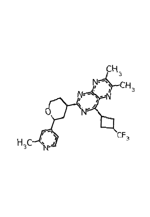 Cc1cc(C2CC(c3nc(C4CC(C(F)(F)F)C4)c4nc(C)c(C)nc4n3)CCO2)ccn1